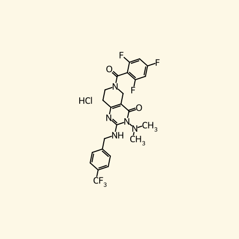 CN(C)n1c(NCc2ccc(C(F)(F)F)cc2)nc2c(c1=O)CN(C(=O)c1c(F)cc(F)cc1F)CC2.Cl